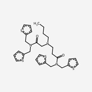 CCCCN(CCC(=O)N(Cc1cccs1)Cc1cccs1)CC(=O)N(Cc1cccs1)Cc1cccs1